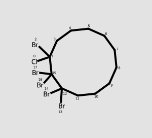 ClC1(Br)CCCCCCCCCC(Br)(Br)C1(Br)Br